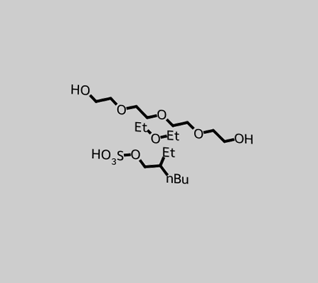 CCCCC(CC)COS(=O)(=O)O.CCOCC.OCCOCCOCCOCCO